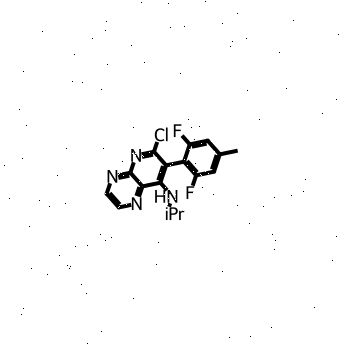 Cc1cc(F)c(-c2c(Cl)nc3nccnc3c2NC(C)C)c(F)c1